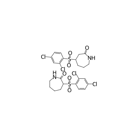 O=C1CC(S(=O)(=O)c2ccc(Cl)cc2Cl)CCCN1.O=C1NCCCCC1S(=O)(=O)c1ccc(Cl)cc1Cl